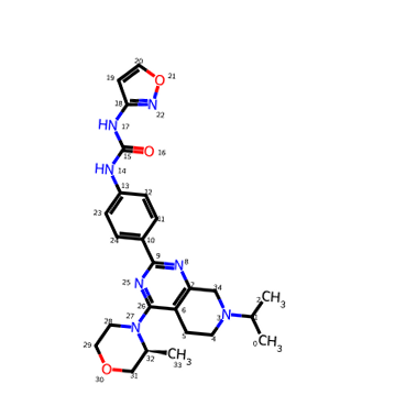 CC(C)N1CCc2c(nc(-c3ccc(NC(=O)Nc4ccon4)cc3)nc2N2CCOC[C@@H]2C)C1